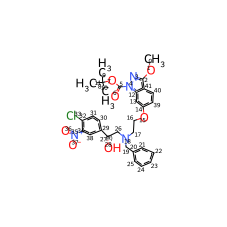 COc1nn(C(=O)OC(C)(C)C)c2cc(OCCN(Cc3ccccc3)C[C@H](O)c3ccc(Cl)c([N+](=O)[O-])c3)ccc12